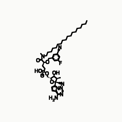 CCCCCCCCCCCCCCCCCCN(C)C(=O)[C@H](CCP(=O)(O)OC[C@H]1O[C@@](C#N)(c2ccc3c(N)ncnn23)[C@H](C)[C@@H]1O)OCc1cc(F)cc(C#N)c1